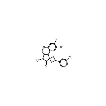 CN1C(=O)C2(CC(c3cccc(Cl)c3)C2)c2c1cnc1cc(F)c(Br)cc21